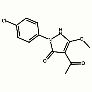 COc1[nH]n(-c2ccc(Cl)cc2)c(=O)c1C(C)=O